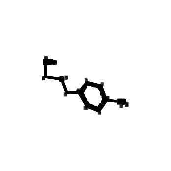 CNCOCc1ccc([N+](=O)[O-])cc1